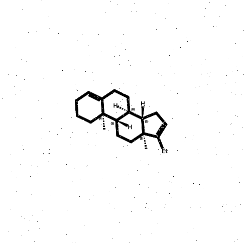 CCC1=CC[C@H]2[C@@H]3CCC4=CCCC[C@]4(C)[C@H]3CC[C@]12C